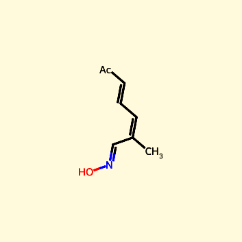 CC(=O)C=CC=C(C)C=NO